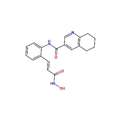 O=C(C=Cc1ccccc1NC(=O)c1cnc2c(c1)CCCC2)NO